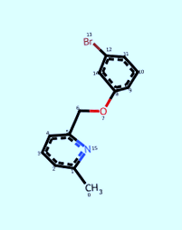 Cc1cccc(COc2cccc(Br)c2)n1